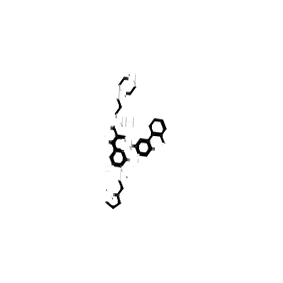 CN1CCN(CCCNC(=O)c2cn3c4c(c(NCCC5CCCN5C)c(F)cc4c2=O)Oc2cc4c(cc2-3)C2=C(C=CCC2)CO4)CC1